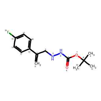 C=C(CNNC(=O)OC(C)(C)C)c1ccc(F)cc1